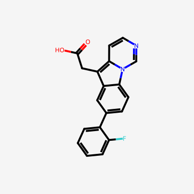 O=C(O)Cc1c2cc(-c3ccccc3F)ccc2n2cnccc12